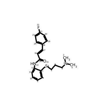 CN(C)CCCSc1ccccc1NC(=O)C=Cc1ccc(F)cc1